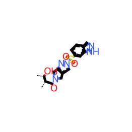 C[C@H](O)[C@@H](C)C(=O)N1Cc2cn(S(=O)(=O)c3ccc4cn[nH]c4c3)nc2C1